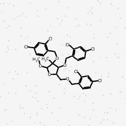 COC1OC(COCc2ccc(Cl)cc2Cl)C(OCc2ccc(Cl)cc2Cl)C1(C)OCc1ccc(Cl)cc1Cl